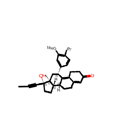 CC#C[C@]1(O)CC[C@H]2[C@@H]3CCC4=CC(=O)CCC4=C3[C@@H](c3ccc(C(C)C)c(OC)c3)C[C@@]21C